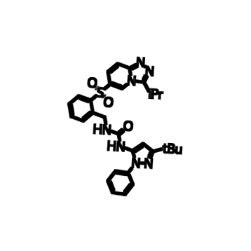 CC(C)c1nnc2ccc(S(=O)(=O)c3ccccc3CNC(=O)Nc3cc(C(C)(C)C)nn3-c3ccccc3)cn12